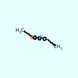 CCCCCCCCOc1ccc(-c2ccc([C@H]3CC[C@H](CCCCCCCC)CC3)nc2)cc1